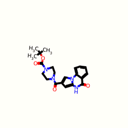 CC(C)(C)OC(=O)N1CCN(C(=O)c2cc3[nH]c(=O)c4ccccc4n3c2)CC1